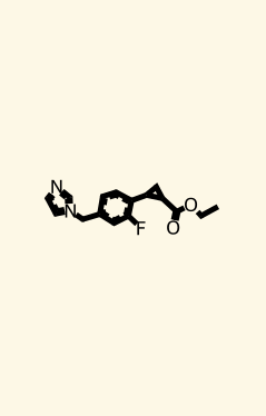 CCOC(=O)C1CC1c1ccc(Cn2ccnc2)cc1F